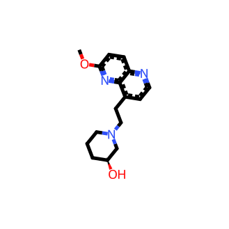 COc1ccc2nccc(CCN3CCC[C@H](O)C3)c2n1